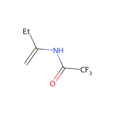 C=C(CC)NC(=O)C(F)(F)F